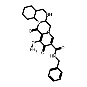 O=C(NCc1ccccc1)c1cn2c(c(OP)c1=O)C(=O)N1C(C2)NCC2CCCCC21